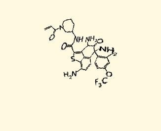 C=CC(=O)N1CCCC(NC(=O)c2sc3c(N)ccc4c3c2C(N)C(=O)C4(N)c2ccc(OC(F)(F)F)cc2C)C1